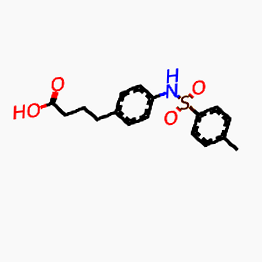 Cc1ccc(S(=O)(=O)Nc2ccc(CCCC(=O)O)cc2)cc1